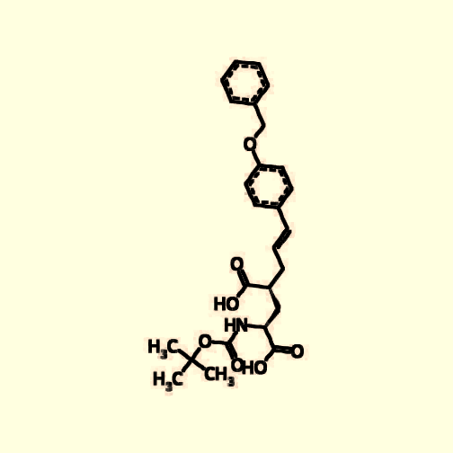 CC(C)(C)OC(=O)N[C@@H](C[C@H](CC=Cc1ccc(OCc2ccccc2)cc1)C(=O)O)C(=O)O